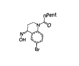 CCCCCC(=O)N1CC/C(=N/O)c2cc(Br)ccc21